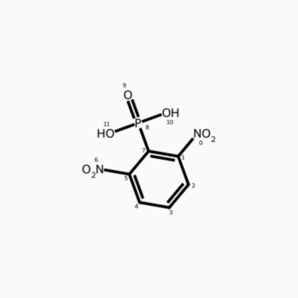 O=[N+]([O-])c1cccc([N+](=O)[O-])c1P(=O)(O)O